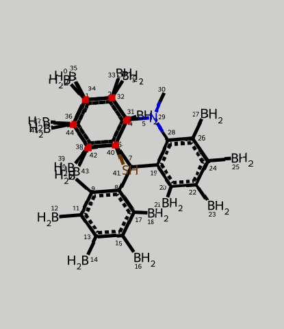 Bc1c(B)c(B)c(C(c2c(B)c(B)c(B)c(B)c2B)c2c(B)c(B)c(B)c(B)c2N(C)c2c(B)c(B)c(B)c(B)c2S)c(B)c1B